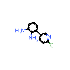 Nc1cccc(-c2ccc(Cl)nc2)c1N